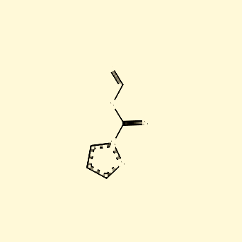 N=C(N[C]=O)n1cccn1